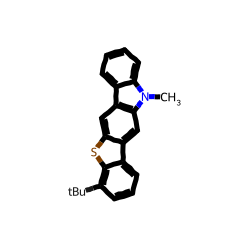 Cn1c2ccccc2c2cc3sc4c(C(C)(C)C)cccc4c3cc21